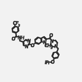 CC(C)Oc1ccc(CN2CCN(C(=O)c3cc4ccc(Oc5ncc(CNC(=O)c6ccc(C(F)(F)F)cc6)cn5)cc4n3C)CC2)cc1